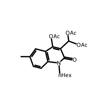 CCCCCCn1c(=O)c(C(OC(C)=O)OC(C)=O)c(OC(C)=O)c2cc(C)ccc21